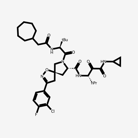 CCC[C@H](NC(=O)[C@@H]1C[C@]2(CC(c3ccc(F)c(Cl)c3)=NO2)CN1C(=O)[C@@H](NC(=O)CC1CCCCCC1)C(C)(C)C)C(=O)C(=O)NC1CC1